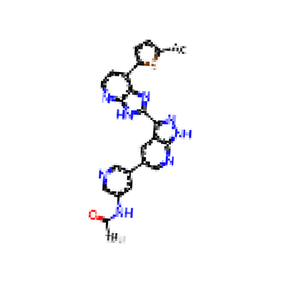 CC(=O)c1ccc(-c2ccnc3[nH]c(-c4n[nH]c5ncc(-c6cncc(NC(=O)C(C)(C)C)c6)cc45)nc23)s1